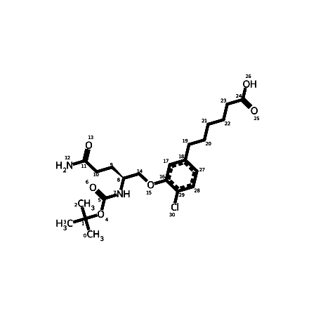 CC(C)(C)OC(=O)N[C@@H](CCC(N)=O)COc1cc(CCCCCC(=O)O)ccc1Cl